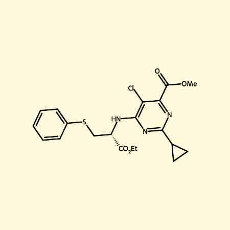 CCOC(=O)[C@H](CSc1ccccc1)Nc1nc(C2CC2)nc(C(=O)OC)c1Cl